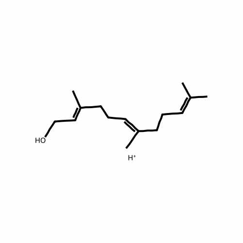 CC(C)=CCCC(C)=CCCC(C)=CCO.[H+]